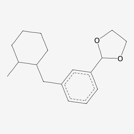 CC1CCCCC1Cc1cccc(C2OCCO2)c1